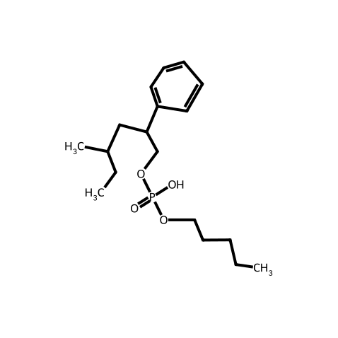 CCCCCOP(=O)(O)OCC(CC(C)CC)c1ccccc1